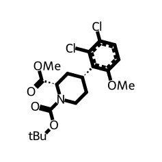 COC(=O)[C@@H]1C[C@H](c2c(OC)ccc(Cl)c2Cl)CCN1C(=O)OC(C)(C)C